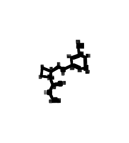 CC(C)(C)OC(=O)N1CC[C@H]1COc1cncc(S)c1